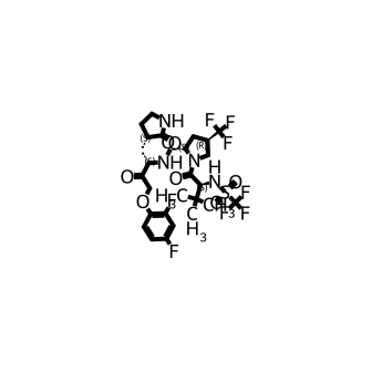 CC(C)(C)[C@H](NS(=O)(=O)C(F)(F)F)C(=O)N1C[C@H](C(F)(F)F)C[C@H]1C(=O)N[C@@H](C[C@@H]1CCNC1=O)C(=O)COc1ccc(F)cc1F